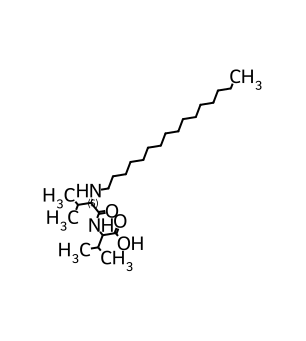 CCCCCCCCCCCCCCCCN[C@H](C(=O)NC(C(=O)O)C(C)C)C(C)C